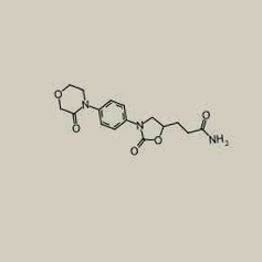 NC(=O)CCC1CN(c2ccc(N3CCOCC3=O)cc2)C(=O)O1